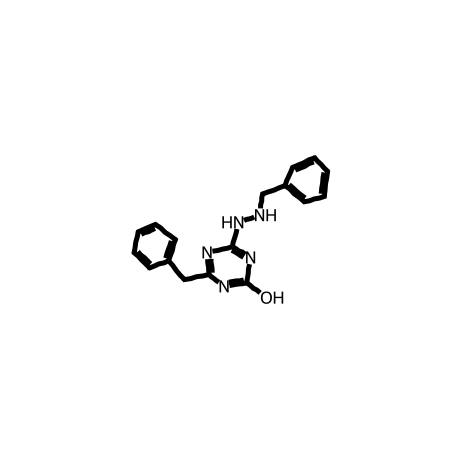 Oc1nc(Cc2ccccc2)nc(NNCc2ccccc2)n1